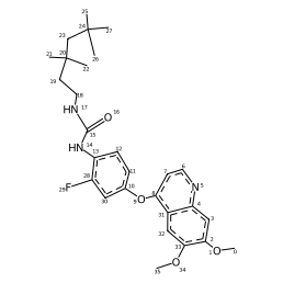 COc1cc2nccc(Oc3ccc(NC(=O)NCCC(C)(C)CC(C)(C)C)c(F)c3)c2cc1OC